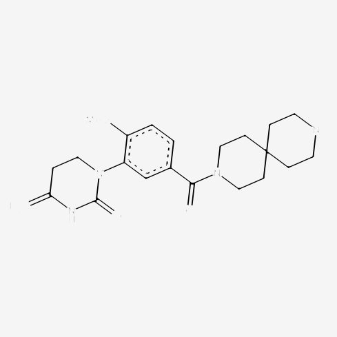 C=C1CCN(c2cc(C(=O)N3CCC4(CCNCC4)CC3)ccc2OC)C(=O)N1